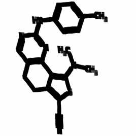 Cc1ccc(Nc2ncc3c(n2)-c2c(N(C)C)sc(C#N)c2CC3)cc1